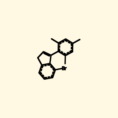 Cc1cc(C)c(C2=CCc3cccc(Br)c32)c(C)c1